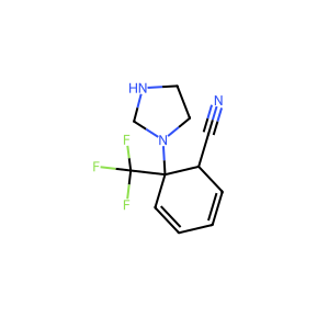 N#CC1C=CC=CC1(N1CCNC1)C(F)(F)F